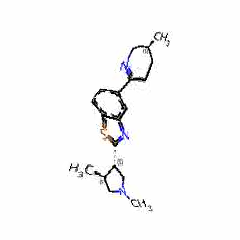 C[C@H]1CCC(c2ccc3sc([C@@H]4CN(C)C[C@H]4C)nc3c2)=NC1